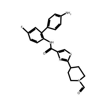 Nc1ccc(-c2cc(F)ccc2NC(=O)c2csc(C3CCN(C=O)CC3)n2)cc1